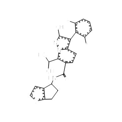 Cc1nn2c(C(C)C)c(C(=O)NC3CCc4sccc43)ccc2c1-c1c(F)cccc1F